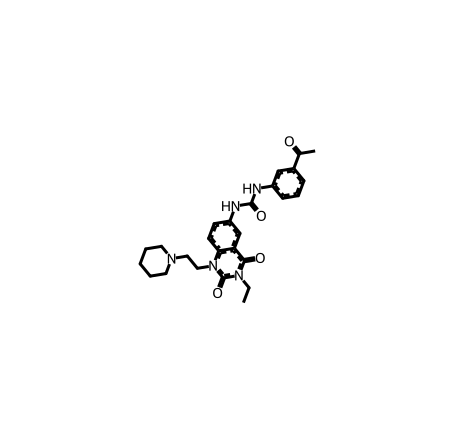 CCn1c(=O)c2cc(NC(=O)Nc3cccc(C(C)=O)c3)ccc2n(CCN2CCCCC2)c1=O